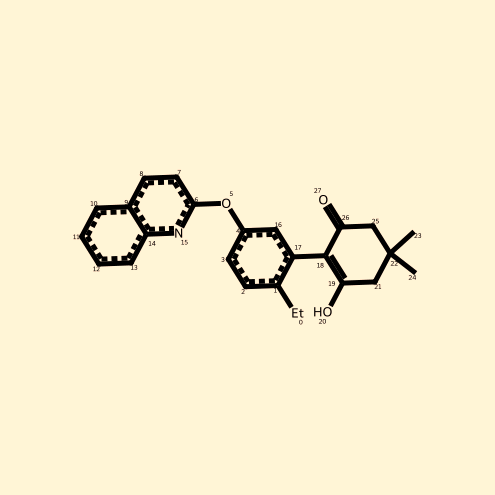 CCc1ccc(Oc2ccc3ccccc3n2)cc1C1=C(O)CC(C)(C)CC1=O